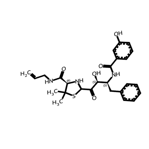 C=CCNC(=O)[C@H]1NC(C(=O)[C@@H](O)[C@H](Cc2ccccc2)NC(=O)c2cccc(O)c2)SC1(C)C